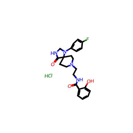 Cl.O=C(NCCN1CCC2(CC1)C(=O)NCN2c1ccc(F)cc1)c1ccccc1O